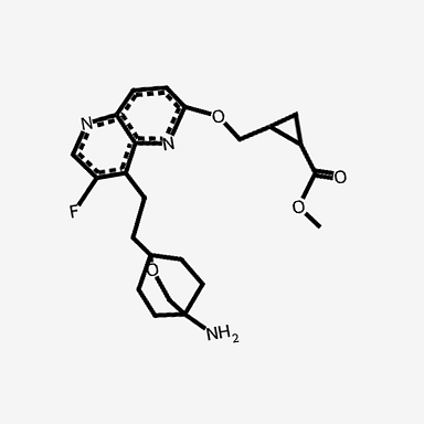 COC(=O)C1CC1COc1ccc2ncc(F)c(CCC34CCC(N)(CC3)CO4)c2n1